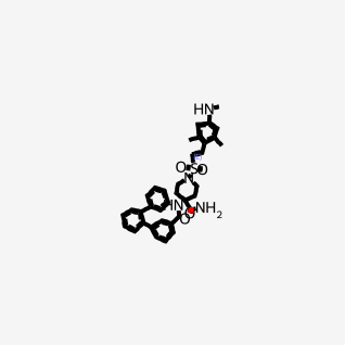 CNc1cc(C)c(/C=C/S(=O)(=O)N2CCC(NC(=O)c3cccc(-c4ccccc4-c4ccccc4)c3)(C(N)=O)CC2)c(C)c1